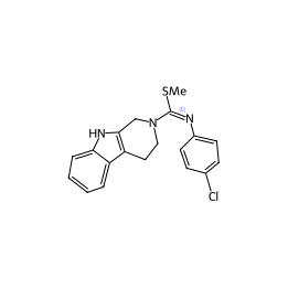 CS/C(=N/c1ccc(Cl)cc1)N1CCc2c([nH]c3ccccc23)C1